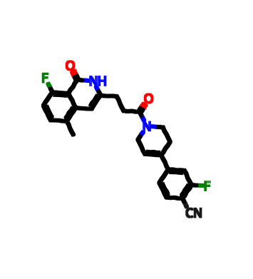 Cc1ccc(F)c2c(=O)[nH]c(CCC(=O)N3CC=C(c4ccc(C#N)c(F)c4)CC3)cc12